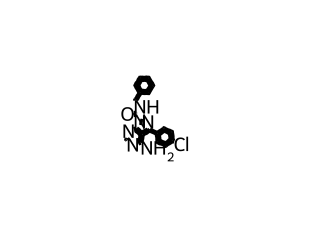 Nc1ncnc2c1c(-c1ccc(Cl)cc1)nn2C(=O)NCc1ccccc1